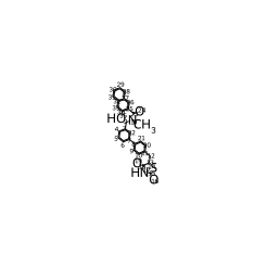 CN(Cc1cccc(-c2ccc(CC3SC(=O)NC3=O)cc2)c1)C(=O)c1cc2ccccc2cc1O